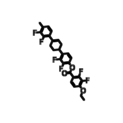 CCOc1ccc(C(=O)Oc2ccc(C3CC=C(c4ccc(C)c(F)c4F)CC3)c(F)c2F)c(F)c1F